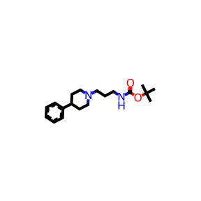 CC(C)(C)OC(=O)NCCCN1CCC(c2ccccc2)CC1